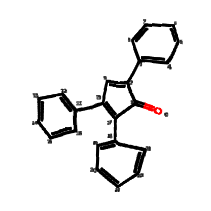 O=C1C(c2ccccc2)=CC(c2ccccc2)=C1c1ccccc1